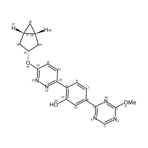 COc1ncnc(-c2ccc(-c3ccc(O[C@@H]4C[C@@H]5C[C@@H]5C4)nn3)c(O)c2)n1